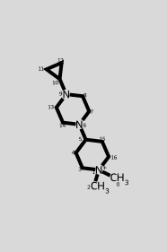 C[N+]1(C)CCC(N2CCN(C3CC3)CC2)CC1